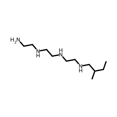 CCC(C)CNCCNCCNCCN